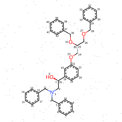 O[C@H](CN(Cc1ccccc1)Cc1ccccc1)c1cccc(OC[C@@H](COCc2ccccc2)OCc2ccccc2)c1